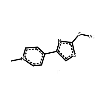 CC(=O)Sc1nc(-c2cc[n+](C)cc2)cs1.[I-]